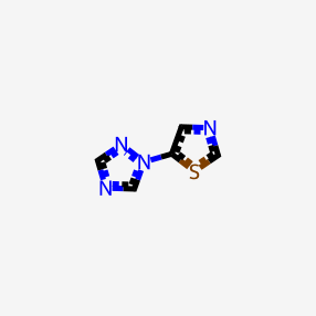 c1ncn(-c2cncs2)n1